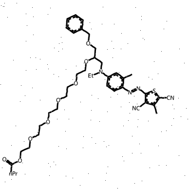 CCCC(=O)OCCOCCOCCOCCOCCOC(COCc1ccccc1)CN(CC)c1ccc(/N=N/c2sc(C#N)c(C)c2C#N)c(C)c1